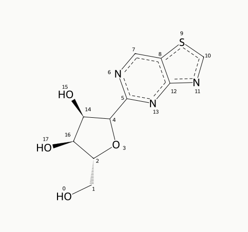 OC[C@H]1OC(c2ncc3scnc3n2)[C@H](O)[C@@H]1O